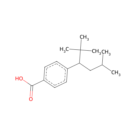 CC(C)CC(c1ccc(C(=O)O)cc1)C(C)(C)C